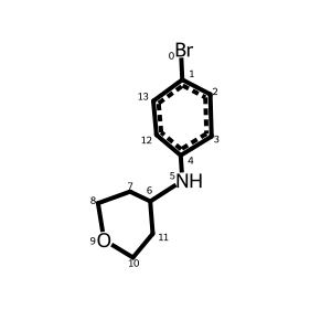 Brc1ccc(NC2CCOCC2)cc1